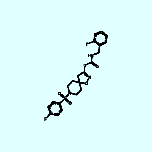 O=C(NCc1ccccc1F)OC1=NOC2(CCN(S(=O)(=O)c3ccc(F)cc3)CC2)C1